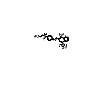 Nc1c(N=Nc2ccc(S(=O)(=O)CCO)cc2)cc(S(=O)(=O)O)c2ccccc12